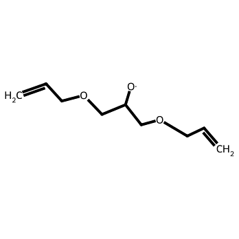 C=CCOCC([O])COCC=C